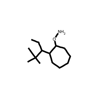 CCC(C1CCCCCC1ON)C(C)(C)C